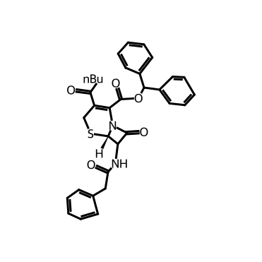 CCCCC(=O)C1=C(C(=O)OC(c2ccccc2)c2ccccc2)N2C(=O)C(NC(=O)Cc3ccccc3)[C@@H]2SC1